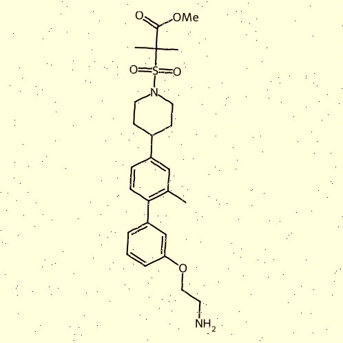 COC(=O)C(C)(C)S(=O)(=O)N1CCC(c2ccc(-c3cccc(OCCN)c3)c(C)c2)CC1